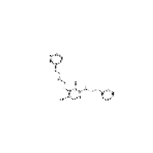 O=c1c(NCCc2ccccn2)ncc(Cl)n1CCNCCc1cccnc1